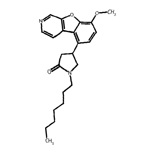 CCCCCCCN1CC(c2ccc(OC)c3oc4cnccc4c23)CC1=O